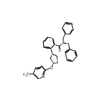 O=C(c1ccccc1N1CC[C@@H](Oc2ccc(C(F)(F)F)cn2)C1)N(Cc1ccccc1)Cc1ccccc1